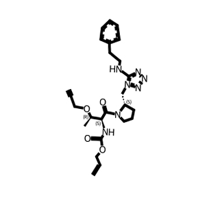 C#CCO[C@H](C)[C@H](NC(=O)OCC=C)C(=O)N1CCC[C@H]1Cn1nnnc1NCCc1ccccc1